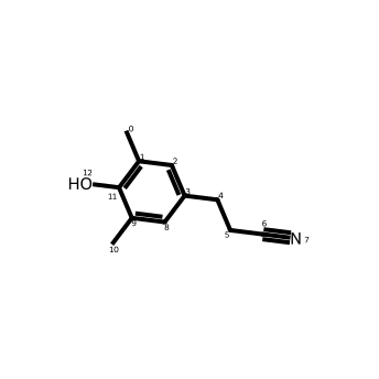 Cc1cc(CCC#N)cc(C)c1O